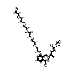 CC(CCC(=O)NC=O)N(C)Cc1c(C=O)cccc1SCCOCCOCCOCCOCCOCC=O